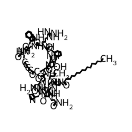 CCCCCCCCCCCCCCCC(=O)NCC(=O)N[C@@H](CO)C(=O)N[C@@H](CCC(N)=O)C(=O)N[C@@H](CC1=CCC=N1)C(=O)N[C@@H](CN)C(=O)N[C@@H](CCCC)C(=O)N[C@H]1CCC(=O)CCCCC[C@@H](C(N)=O)NC(=O)[C@H](Cc2c[nH]c3ccccc23)NC(=O)[C@H](CCCNC(=N)N)NC(=O)[C@@H](Cc2ccccc2)NC(=O)[C@@H]2C[C@@H](O)CN2C1=O